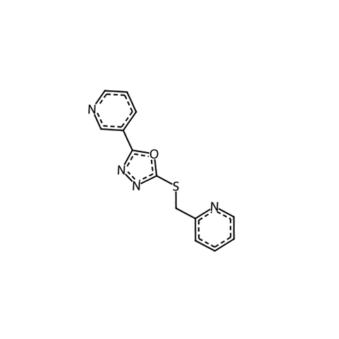 c1ccc(CSc2nnc(-c3cccnc3)o2)nc1